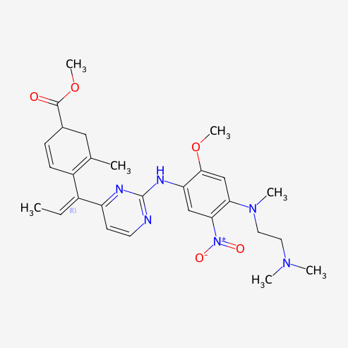 C/C=C(\C1=C(C)CC(C(=O)OC)C=C1)c1ccnc(Nc2cc([N+](=O)[O-])c(N(C)CCN(C)C)cc2OC)n1